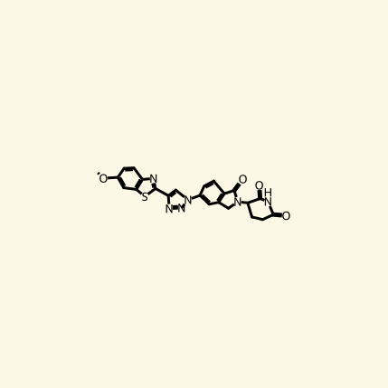 COc1ccc2nc(-c3cn(-c4ccc5c(c4)CN(C4CCC(=O)NC4=O)C5=O)nn3)sc2c1